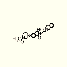 CC(=O)N1CCCCN(c2ccc3c(c2)CCN(CC(O)CN2CCc4ccccc4C2)C3=O)CC1